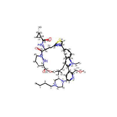 CCCCN1CCN(c2cnc([C@H](C)OC)c(-c3c4c5cc(ccc5n3CC)-c3csc(n3)C[C@H](NC(=O)[C@H]3C[C@@H]3C)C(=O)N3CCC[C@](C=O)(COCC(C)(C)C4)N3)c2)CC1